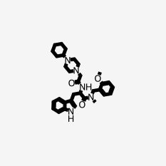 COc1ccccc1CN(C)C(=O)C(Cc1c[nH]c2ccccc12)NC(=O)CN1CCN(C2CCCCC2)CC1